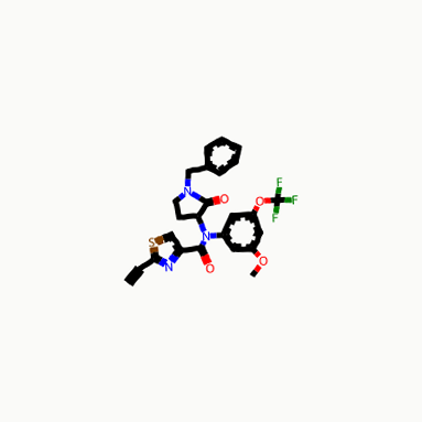 C#Cc1nc(C(=O)N(c2cc(OC)cc(OC(F)(F)F)c2)C2CCN(Cc3ccccc3)C2=O)cs1